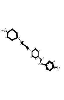 CCC[C@H]1CC[C@H](C=CC#C[C@H]2CC[C@H](COc3ccc(CC)cc3)CC2)CC1